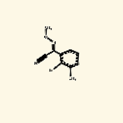 CO/N=C(\C#N)c1cccc(C)c1Br